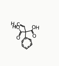 C=CC(C(=O)O)(C(=O)O)c1ccccc1